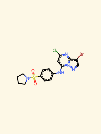 O=S(=O)(c1ccc(Nc2cc(Cl)nc3c(Br)cnn23)cc1)N1CCCC1